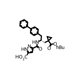 CCCCOC(=O)C1(C[C@@H](Cc2ccc(-c3ccccc3)cc2)NC(=O)c2cc(C(=O)O)[nH]n2)CC1